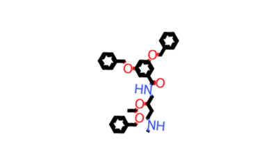 CNCCC(CNC(=O)c1cc(OCc2ccccc2)cc(OCc2ccccc2)c1)OC(C)OCc1ccccc1